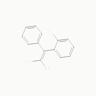 CCC(O)=C(c1ccccc1)c1ccccc1CC